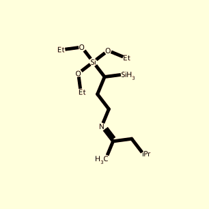 CCO[Si](OCC)(OCC)C([SiH3])CCN=C(C)CC(C)C